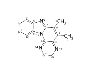 Cc1c(C)c2nc3ccccc3n2c2nccnc12